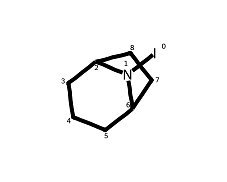 IN1C2CCCC1CC2